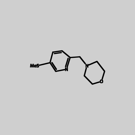 CSc1ccc(CN2CCOCC2)nc1